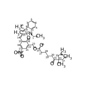 CCN1c2ccccc2C(C)(C)C12C=Cc1cc([N+](=O)[O-])cc(COC(=O)CCCCC(=O)C(C)(CC)CC)c1O2